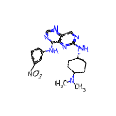 CN(C)[C@H]1CC[C@H](Nc2ncc3ncnc(Nc4cccc([N+](=O)[O-])c4)c3n2)CC1